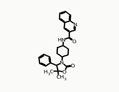 CC1(C)OC(=O)N(C2CCC(NC(=O)c3cnc4ccccc4c3)CC2)C1c1ccccc1